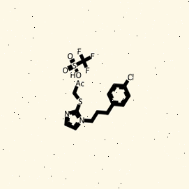 CC(=O)CSc1nccn1CCCc1ccc(Cl)cc1.O=S(=O)(O)C(F)(F)F